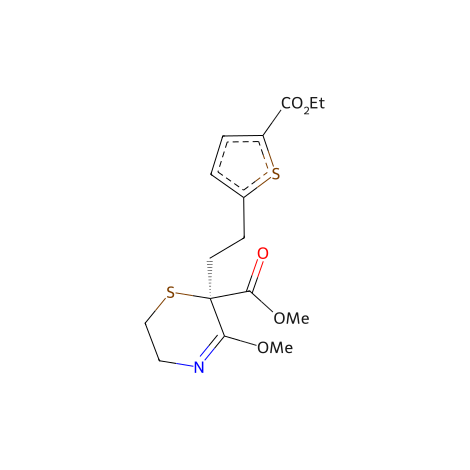 CCOC(=O)c1ccc(CC[C@@]2(C(=O)OC)SCCN=C2OC)s1